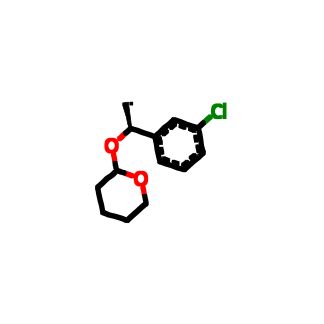 [CH2][C@H](OC1CCCCO1)c1cccc(Cl)c1